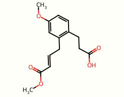 COC(=O)C=CCc1cc(OC)ccc1CCC(=O)O